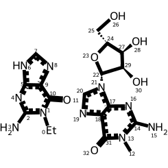 CCn1c(N)nc2[nH]cnc2c1=O.Cn1c(N)nc2c(ncn2[C@@H]2O[C@H](CO)[C@@H](O)[C@H]2O)c1=O